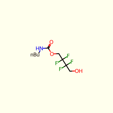 CCCCNC(=O)OCC(F)(F)C(F)(F)CO